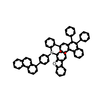 c1ccc(-c2c(-c3ccccc3)c3cc(-c4ccccc4N(c4ccc(-c5cccc6c5ccc5ccccc56)cc4)c4cccc5c4oc4ccccc45)ccc3c3ccccc23)cc1